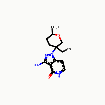 N#CCC1(n2nc(N)c3c(=O)[nH]ccc32)CCC(C(=O)O)OC1